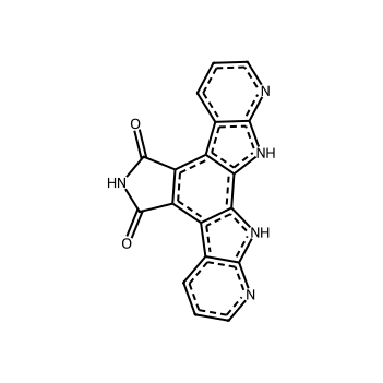 O=C1NC(=O)c2c1c1c3cccnc3[nH]c1c1[nH]c3ncccc3c21